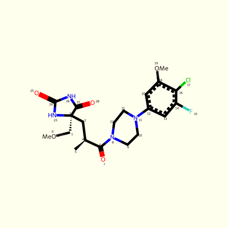 COC[C@]1(C[C@H](C)C(=O)N2CCN(c3cc(F)c(Cl)c(OC)c3)CC2)NC(=O)NC1=O